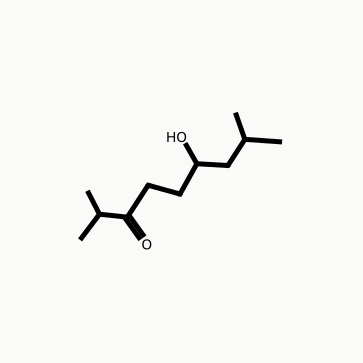 CC(C)CC(O)CCC(=O)C(C)C